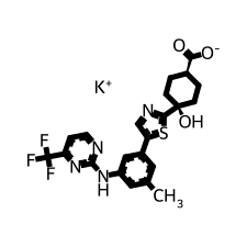 Cc1cc(Nc2nccc(C(F)(F)F)n2)cc(-c2cnc([C@]3(O)CC[C@@H](C(=O)[O-])CC3)s2)c1.[K+]